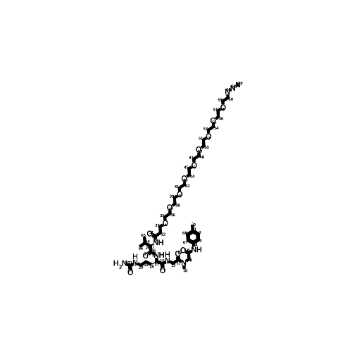 [CH2]c1ccc(NC(=O)CN(C)C(=O)CNC(=O)[C@H](CCCNC(N)=O)NC(=O)[C@@H](NC(=O)CCOCCOCCOCCOCCOCCOCCOCCOCCOCCN=[N+]=[N-])C(C)C)cc1